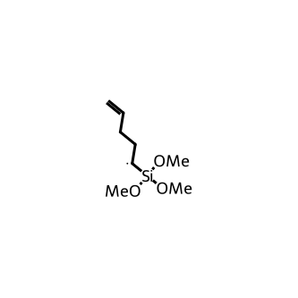 C=CCC[CH][Si](OC)(OC)OC